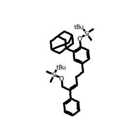 CC(C)(C)[Si](C)(C)OC/C(=C\CCc1ccc(O[Si](C)(C)C(C)(C)C)c(C23CC4CC(CC(C4)C2)C3)c1)c1ccccc1